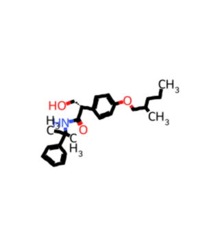 CCCC(C)COc1ccc([C@@H](CO)C(=O)NC(C)(C)c2ccccc2)cc1